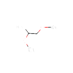 CCOC(C)COC(C)CC